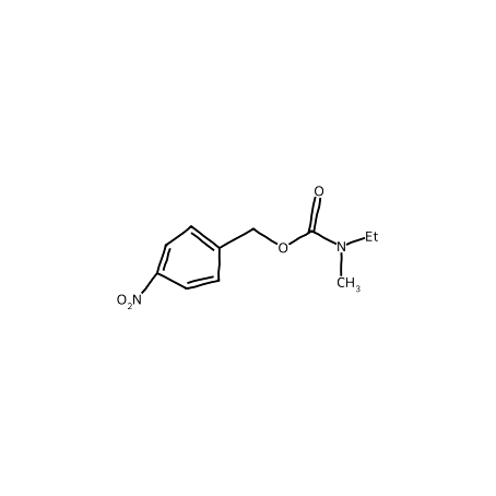 [CH2]CN(C)C(=O)OCc1ccc([N+](=O)[O-])cc1